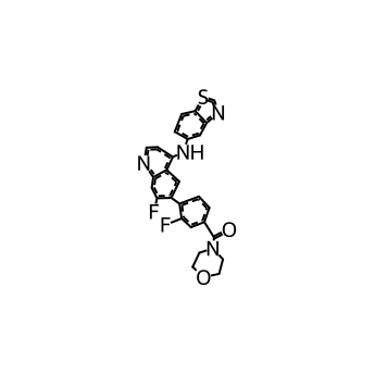 O=C(c1ccc(-c2cc3c(Nc4ccc5scnc5c4)ccnc3cc2F)c(F)c1)N1CCOCC1